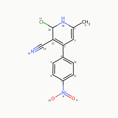 CC1=CC(c2ccc([N+](=O)[O-])cc2)=C(C#N)C(Cl)N1